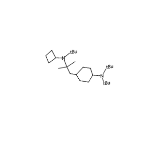 CC(C)(C)N(C1CCC(CC(C)(C)N(C2CCC2)C(C)(C)C)CC1)C(C)(C)C